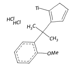 COc1ccccc1C(C)(C)C1=[C]([Ti])CC=C1.Cl.Cl